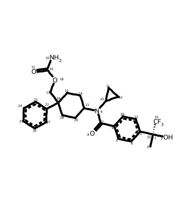 C[C@](O)(c1ccc(C(=O)N(C2CC2)C2CCC(COC(N)=O)(c3ccccc3)CC2)cc1)C(F)(F)F